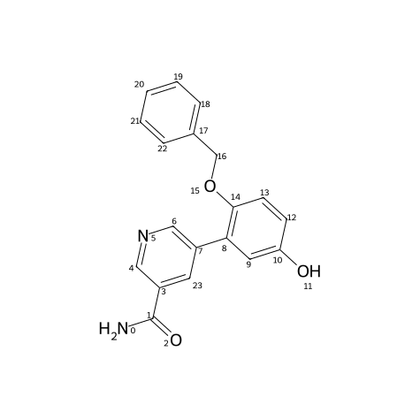 NC(=O)c1cncc(-c2cc(O)ccc2OCc2ccccc2)c1